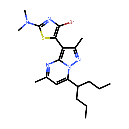 CCCC(CCC)c1cc(C)nc2c(-c3sc(N(C)C)nc3Br)c(C)nn12